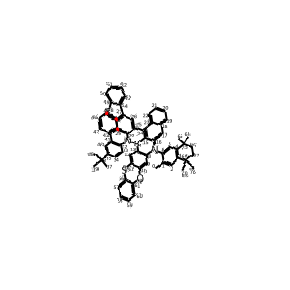 Cc1cc2c(cc1N1c3cc4c(cc3B3c5c1cc1ccccc1c5-c1cc5c(cc1N3c1ccc(C(C)(C)C)cc1-c1ccccc1)sc1ccccc15)Sc1ccccc1O4)C(C)(C)CCC2(C)C